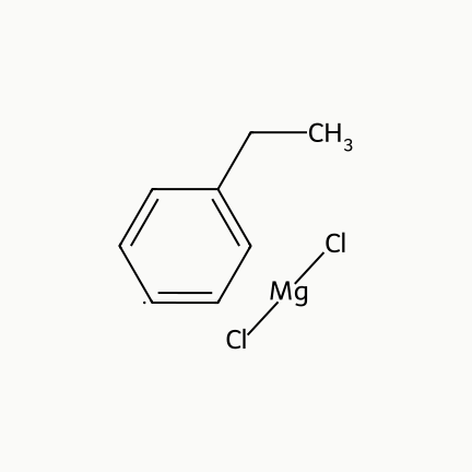 CCc1cc[c]cc1.[Cl][Mg][Cl]